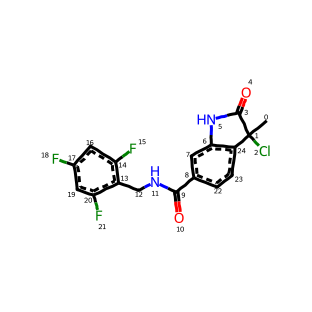 CC1(Cl)C(=O)Nc2cc(C(=O)NCc3c(F)cc(F)cc3F)ccc21